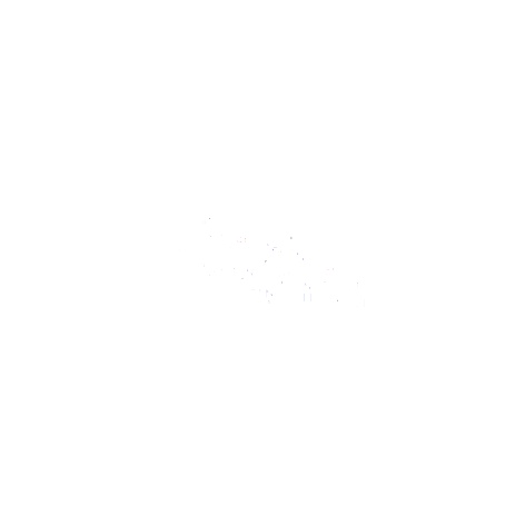 CSC[C@H]1O[C@@H](n2cnc3c(NC(=O)/C=C/F)ncnc32)[C@H](O)[C@@H]1O